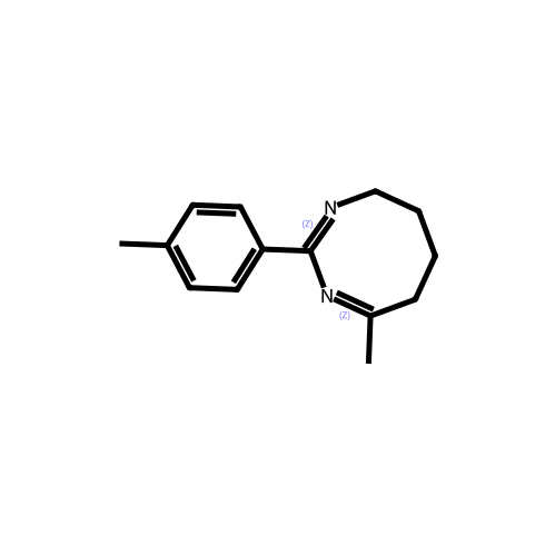 C/C1=N/C(c2ccc(C)cc2)=N\CCCC1